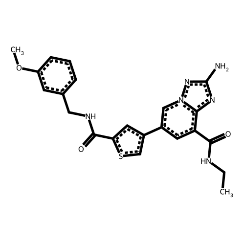 CCNC(=O)c1cc(-c2csc(C(=O)NCc3cccc(OC)c3)c2)cn2nc(N)nc12